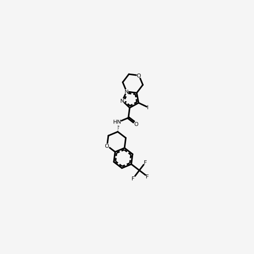 O=C(N[C@H]1COc2ccc(C(F)(F)F)cc2C1)c1nn2c(c1I)COCC2